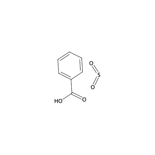 O=C(O)c1ccccc1.O=S=O